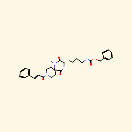 CCCN1C(=O)[C@H](CCCCNC(=O)OCc2ccccc2)NC(=O)C12CCN(C(=O)C=Cc1ccccc1)CC2